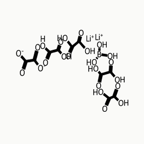 O=C(O)C(=O)O.O=C(O)C(=O)O.O=C(O)C(=O)O.O=C(O)C(=O)O.O=C([O-])C(=O)[O-].OB(O)O.[Li+].[Li+]